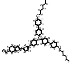 CCCCCCOc1ccc(-c2ccc(N(c3ccc(-c4ccc(OCCCCCC)cc4)cc3)c3ccc(-c4ccc(-c5cc6ccc(C=O)cc6o5)s4)cc3)cc2)cc1